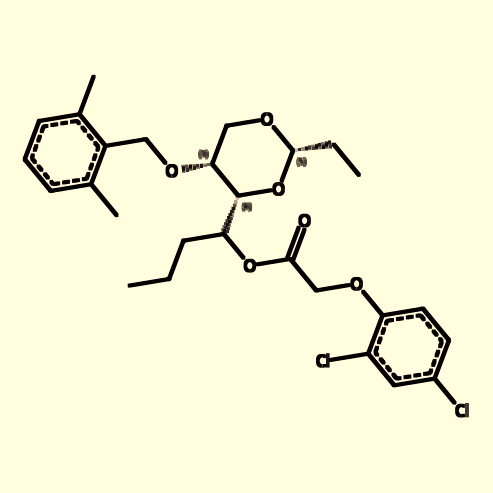 CCCC(OC(=O)COc1ccc(Cl)cc1Cl)[C@H]1O[C@@H](CC)OC[C@H]1OCc1c(C)cccc1C